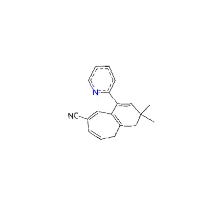 CC1(C)C=C(c2ccccn2)C2=C(CC=CC(C#N)=C2)C1